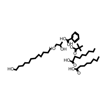 CC(C)(C)C(=O)O.CC(O)CO.CCCCCCCC(=O)O.CCCCCCCC(=O)O.CCCCCCCCCCCCO.O=C(O)c1ccccc1